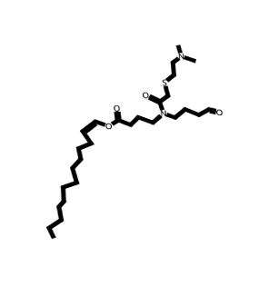 CCCCCCCCCCC/C=C\OC(=O)CCCN(CCCC=O)C(=O)CSCCN(C)C